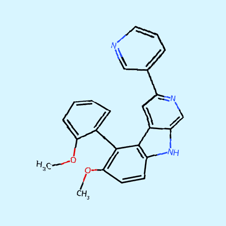 COc1ccccc1-c1c(OC)ccc2[nH]c3cnc(-c4cccnc4)cc3c12